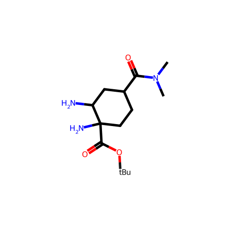 CN(C)C(=O)C1CCC(N)(C(=O)OC(C)(C)C)C(N)C1